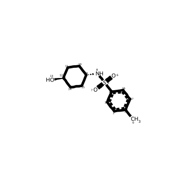 Cc1ccc(S(=O)(=O)N[C@H]2CC[C@H](O)CC2)cc1